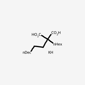 CCCCCCCCCCCCC(CCCCCC)(C(=O)O)C(=O)O.[KH]